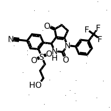 N#Cc1ccc(C2NC(=O)N(c3cccc(C(F)(F)F)c3)C3=C2C(=O)CC3)c(S(=O)(=O)CCCO)c1